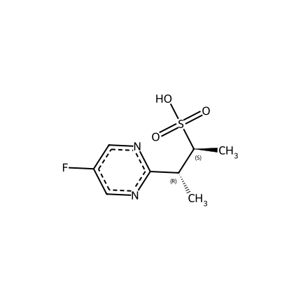 C[C@H](c1ncc(F)cn1)[C@H](C)S(=O)(=O)O